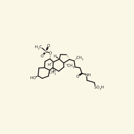 C[C@H](CCC(=O)NCCS(=O)(=O)O)[C@H]1CC[C@H]2[C@@H]3[C@@H](OS(C)(=O)=O)CC4C[C@H](O)CC[C@]4(C)[C@H]3CC[C@]12C